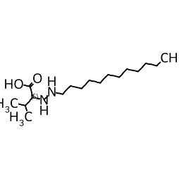 CCCCCCCCCCCCNN[C@H](C(=O)O)C(C)C